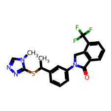 CC(Sc1nncn1C)c1cccc(N2Cc3c(cccc3C(F)(F)F)C2=O)c1